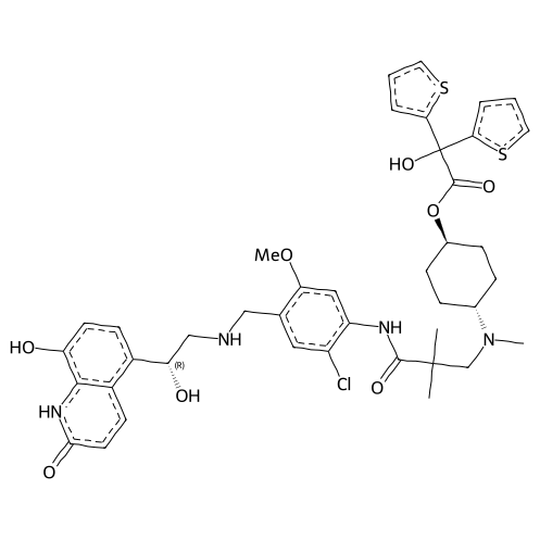 COc1cc(NC(=O)C(C)(C)CN(C)[C@H]2CC[C@H](OC(=O)C(O)(c3cccs3)c3cccs3)CC2)c(Cl)cc1CNC[C@H](O)c1ccc(O)c2[nH]c(=O)ccc12